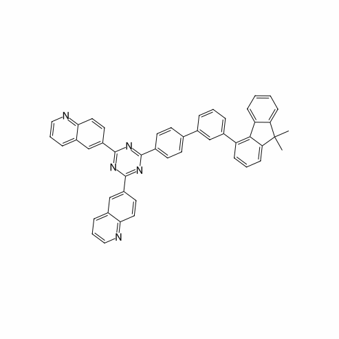 CC1(C)c2ccccc2-c2c(-c3cccc(-c4ccc(-c5nc(-c6ccc7ncccc7c6)nc(-c6ccc7ncccc7c6)n5)cc4)c3)cccc21